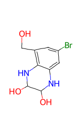 OCc1cc(Br)cc2c1NC(O)C(O)N2